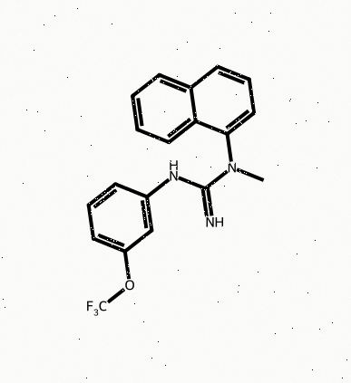 CN(C(=N)Nc1cccc(OC(F)(F)F)c1)c1cccc2ccccc12